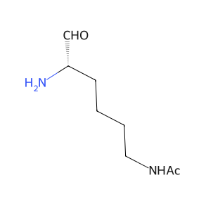 CC(=O)NCCCC[C@H](N)C=O